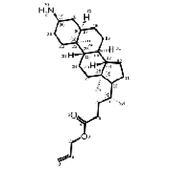 C=CCOC(=O)CC[C@@H](C)C1CC[C@H]2[C@@H]3CC[C@@H]4C[C@H](N)CC[C@]4(C)[C@H]3CC[C@]12C